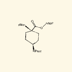 CCCCCCCCCOC(=O)[C@]1(CCCCCCCCC)CC[C@@H](CCCCC)CC1